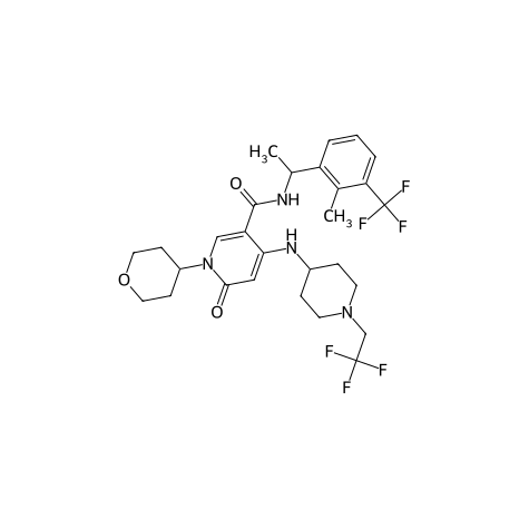 Cc1c(C(C)NC(=O)c2cn(C3CCOCC3)c(=O)cc2NC2CCN(CC(F)(F)F)CC2)cccc1C(F)(F)F